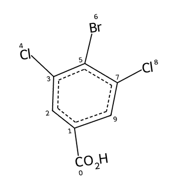 O=C(O)c1cc(Cl)c(Br)c(Cl)c1